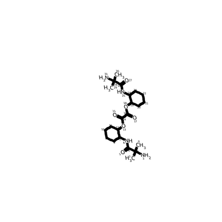 CC(C)(N)C(=O)NC1CCCCC1OC(=O)C(=O)OC1CCCCC1NC(=O)C(C)(C)N